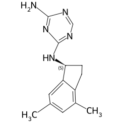 Cc1cc(C)c2c(c1)[C@@H](Nc1ncnc(N)n1)CC2